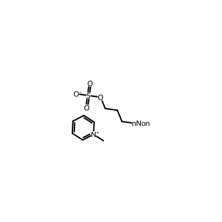 CCCCCCCCCCCCOS(=O)(=O)[O-].C[n+]1ccccc1